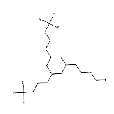 FC(F)(F)CCCC1CC(CCCCI)CC(CCCC(F)(F)F)C1